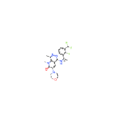 Cc1nnc(N[C@H](C)c2cccc(C(F)F)c2F)c2cc(N3CCOCC3)c(=O)n(C)c12